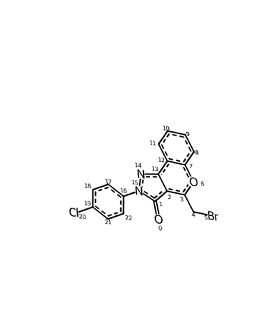 O=c1c2c(CBr)oc3ccccc3c-2nn1-c1ccc(Cl)cc1